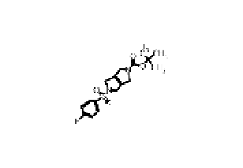 CC(C)(C)OC(=O)N1CC2=C(C1)CN(S(=O)(=O)c1ccc(F)cc1)C2